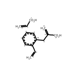 C=CC(=O)O.C=Cc1ccccc1CC(=C)C(=O)O